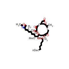 CCCCCCCCCCCCCCCC(O)OC1CC(C(C)C(OC)/C(C)=C/C(C)=C/C(C)=C/c2coc(C)n2)OC(=O)C2OC2CC2CC(=O)OC(C2)C(C)CCC2OC12C